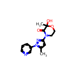 Cc1cc(N2CCOC(C)(O)C2=O)nn1-c1cccnc1